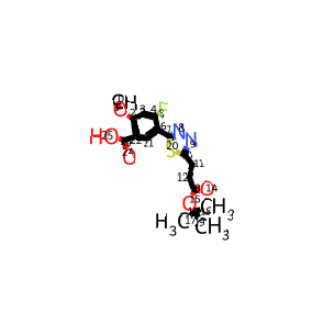 COc1cc(F)c(-c2nnc(CCC(=O)OC(C)(C)C)s2)cc1C(=O)O